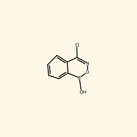 OB1ON=C(Cl)c2ccccc21